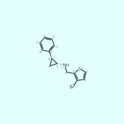 Brc1ccsc1CN[C@@H]1C[C@H]1c1ccccc1